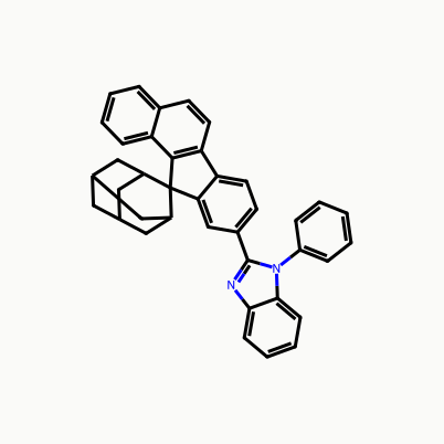 c1ccc(-n2c(-c3ccc4c(c3)C3(c5c-4ccc4ccccc54)C4CC5CC(C4)CC3C5)nc3ccccc32)cc1